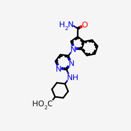 NC(=O)c1cn(-c2ccnc(NC3CCC(C(=O)O)CC3)n2)c2ccccc12